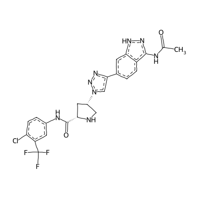 CC(=O)Nc1n[nH]c2cc(-c3cn([C@@H]4CN[C@H](C(=O)Nc5ccc(Cl)c(C(F)(F)F)c5)C4)nn3)ccc12